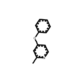 Cc1cc(Oc2cc[c]cc2)ccn1